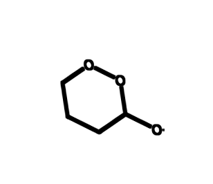 [O]C1CCCOO1